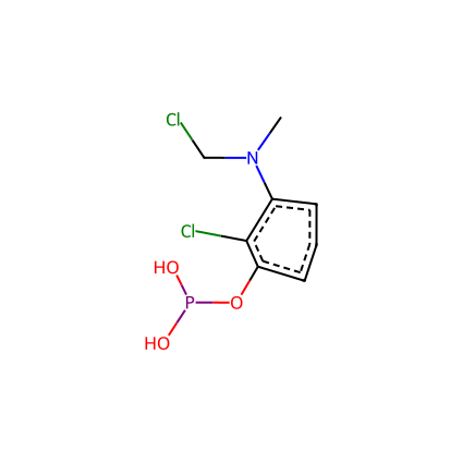 CN(CCl)c1cccc(OP(O)O)c1Cl